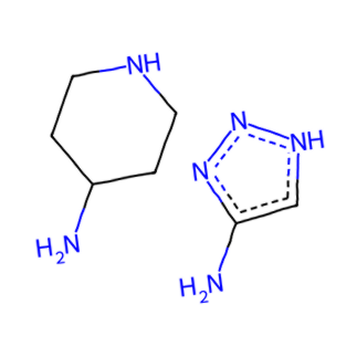 NC1CCNCC1.Nc1c[nH]nn1